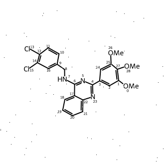 COc1cc(-c2nc(NCc3ccc(Cl)c(Cl)c3)c3ccccc3n2)cc(OC)c1OC